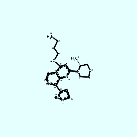 C[C@@H]1COCCN1c1cc(OCCCN)c2ccnc(-c3ccn[nH]3)c2n1